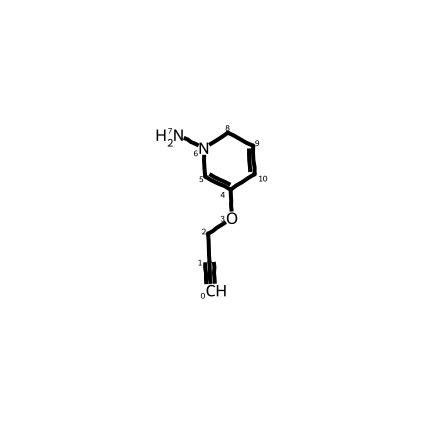 C#CCOC1=CN(N)CC=C1